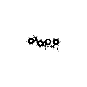 C[C@@H](N[C@@H]1CCCc2c1[nH]c1ccc(-c3coc4ccccc34)cc21)c1ccccc1